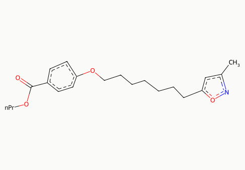 CCCOC(=O)c1ccc(OCCCCCCCc2cc(C)no2)cc1